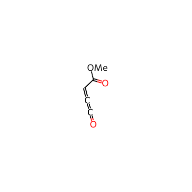 [CH2]OC(=O)C=C=C=O